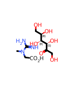 CN(CC(=O)O)C(=N)N.O=C(CO)[C@@H](O)[C@H](O)[C@H](O)CO